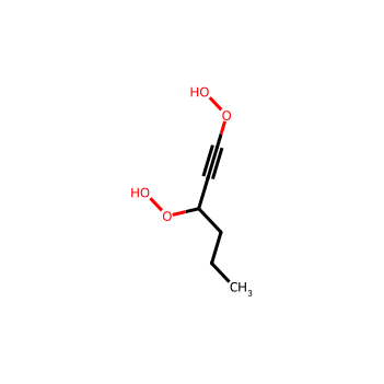 CCCC(C#COO)OO